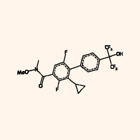 CON(C)C(=O)c1cc(F)c(-c2ccc(C(O)(C(F)(F)F)C(F)(F)F)cc2)c(C2CC2)c1F